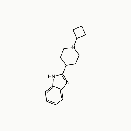 c1ccc2[nH]c(C3CCN(C4CCC4)CC3)nc2c1